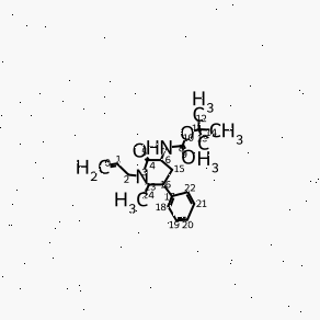 C=CCN1C(=O)C(NC(=O)OC(C)(C)C)CC(c2ccccc2)C1C